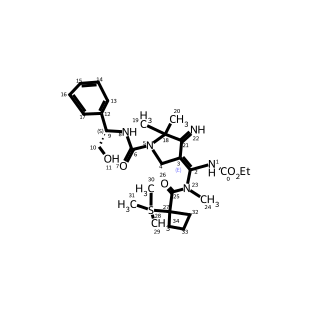 CCOC(=O)N/C(=C1/CN(C(=O)N[C@H](CO)c2ccccc2)C(C)(C)C1=N)N(C)C(=O)C1(S(C)(C)C)CCC1